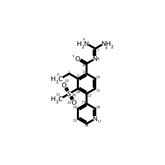 CCc1c(C(=O)N=C(N)N)ccc(-c2cccnc2)c1S(C)(=O)=O